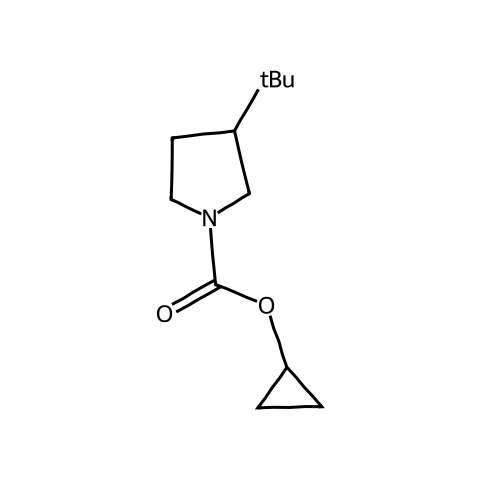 CC(C)(C)C1CCN(C(=O)OC2CC2)C1